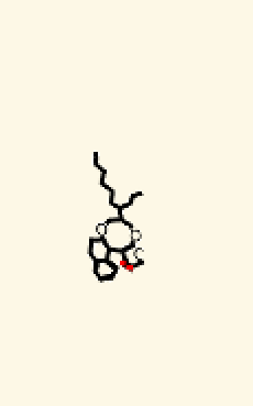 CCCCCCC(CCC)C1COC2CCc3ccccc3C2C2C(CCC3CCCCC32)OC1